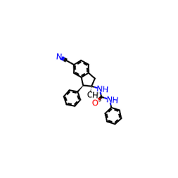 C[C@@]1(NC(=O)Nc2ccccc2)Cc2ccc(C#N)cc2[C@@H]1c1ccccc1